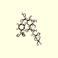 COC(=O)C1=C(C)NC(C)=C(C(=O)NCC(=O)OC(C)(C)C)[C@@H]1c1cccc([N+](=O)[O-])c1